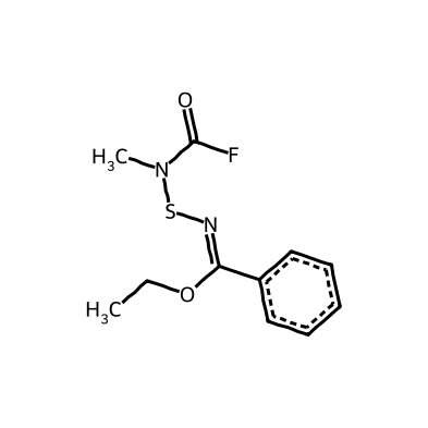 CCOC(=NSN(C)C(=O)F)c1ccccc1